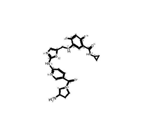 NC1CCN(C(=O)c2ccc(Nc3ncc(CNc4cc(C(=O)NC5CC5)c(F)cc4F)s3)nc2)C1